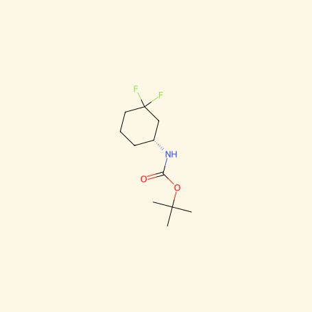 CC(C)(C)OC(=O)N[C@@H]1CCCC(F)(F)C1